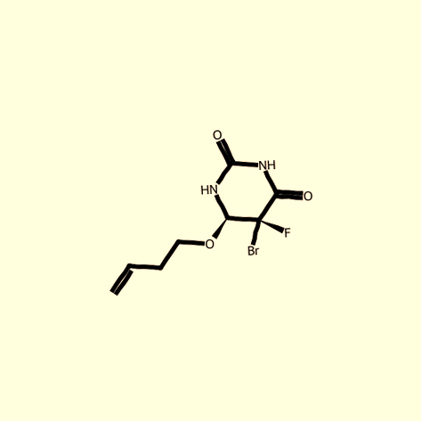 C=CCCO[C@H]1NC(=O)NC(=O)[C@]1(F)Br